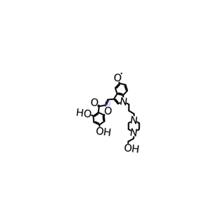 COc1ccc2c(c1)c(/C=C1\Oc3cc(O)cc(O)c3C1=O)cn2CCCN1CCN(CCO)CC1